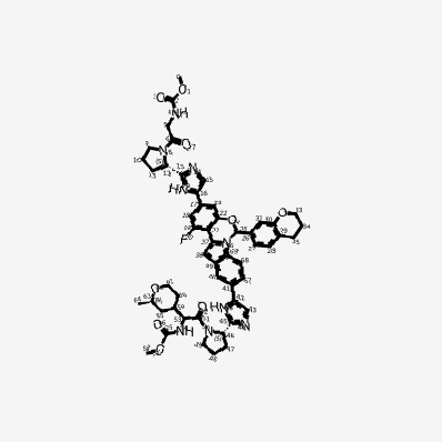 COC(=O)NCC(=O)N1CCC[C@H]1c1ncc(-c2cc(F)c3c(c2)OC(c2ccc4c(c2)OCCC4)n2c-3cc3cc(-c4cnc([C@@H]5CCCN5C(=O)C(NC(=O)OC)C5CCO[C@H](C)C5)[nH]4)ccc32)[nH]1